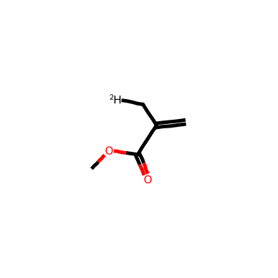 [2H]CC(=C)C(=O)OC